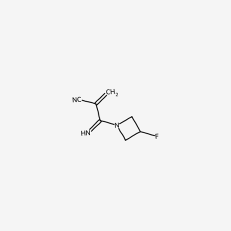 C=C(C#N)C(=N)N1CC(F)C1